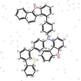 c1ccc2c(c1)ccc1c2oc2cccc(-c3ccc(N(c4ccc(-c5cccc6c5sc5ccccc56)cc4)c4cccc5oc6ccccc6c45)cc3)c21